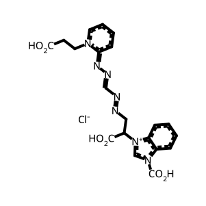 O=C(O)CCn1ccccc1=NN=CN=NCC(C(=O)O)[n+]1cn(C(=O)O)c2ccccc21.[Cl-]